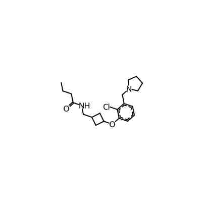 CCCC(=O)NCC1CC(Oc2cccc(CN3CCCC3)c2Cl)C1